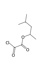 C[C](C)CC(C)OC(=O)C(=O)Cl